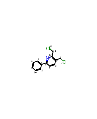 ClCc1ccc(-c2ccccc2)nc1CCl